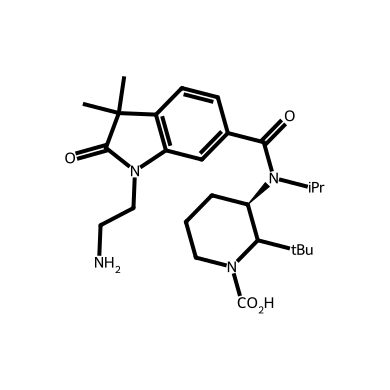 CC(C)N(C(=O)c1ccc2c(c1)N(CCN)C(=O)C2(C)C)[C@@H]1CCCN(C(=O)O)C1C(C)(C)C